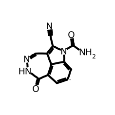 N#Cc1c2c3c(c[c]cc3n1C(N)=O)C(=O)NN=C2